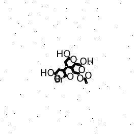 CC(=O)OCC1OC(Br)C(CC(=O)O)C(CC(=O)O)C1CC(=O)O